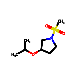 CC(C)O[C@@H]1CCN(S(C)(=O)=O)C1